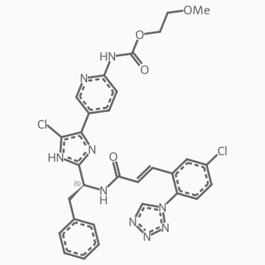 COCCOC(=O)Nc1ccc(-c2nc([C@H](Cc3ccccc3)NC(=O)C=Cc3cc(Cl)ccc3-n3cnnn3)[nH]c2Cl)cn1